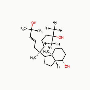 [2H]C([2H])([2H])C(O)(CCC[C@](C)(CC=CC(O)(C(F)(F)F)C(F)(F)F)[C@H]1CC[C@H]2[C@@H](O)CCC[C@]12C)C([2H])([2H])[2H]